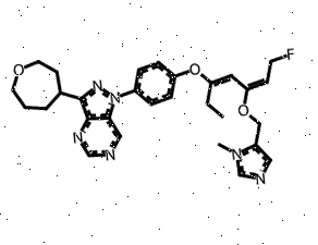 CC/C(=C\C(=C/CF)OCc1cncn1C)Oc1ccc(-n2nc(C3CCCOCC3)c3ncncc32)cc1